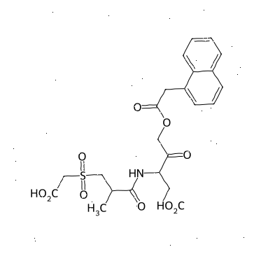 CC(CS(=O)(=O)CC(=O)O)C(=O)NC(CC(=O)O)C(=O)COC(=O)Cc1cccc2ccccc12